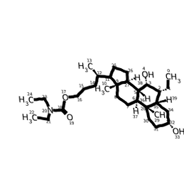 CC[C@H]1[C@@H](O)[C@@H]2[C@H](CC[C@]3(C)C([C@H](C)CCCOC(=O)N(CC)CC)CC[C@@H]23)[C@@]2(C)CC[C@@H](O)C[C@@H]12